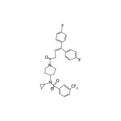 O=C(CC=C(c1ccc(F)cc1)c1ccc(F)cc1)N1CCC(N(C2CC2)S(=O)(=O)c2cccc(C(F)(F)F)c2)CC1